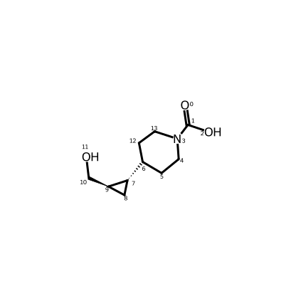 O=C(O)N1CCC([C@@H]2C[C@H]2CO)CC1